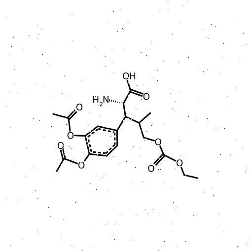 CCOC(=O)OCC(C)C(c1ccc(OC(C)=O)c(OC(C)=O)c1)[C@H](N)C(=O)O